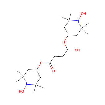 CC1(C)CC(OC(=O)CCC(O)OC2CC(C)(C)N(O)C(C)(C)C2)CC(C)(C)N1O